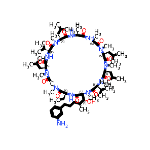 CC[C@@H]1NC(=O)[C@H]([C@H](O)[C@H](C)CCCc2cccc(N)c2)N(C)C(=O)[C@H](C(C)C)N(C)C(=O)[C@H](CC(C)C)N(C)C(=O)[C@H](CC(C)C)N(C)C(=O)[C@H](C)NC(=O)[C@@H](C)NC(=O)[C@@H](CC(C)C)N(C)C(=O)[C@@H](C(C)C)NC(=O)[C@H](CC(C)C)N(C)C(=O)CN(C)C1=O